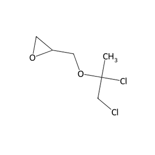 CC(Cl)(CCl)OCC1CO1